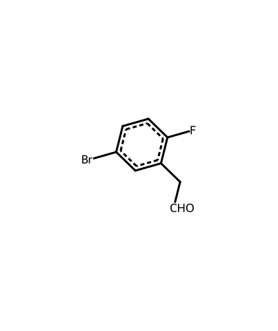 O=CCc1cc(Br)ccc1F